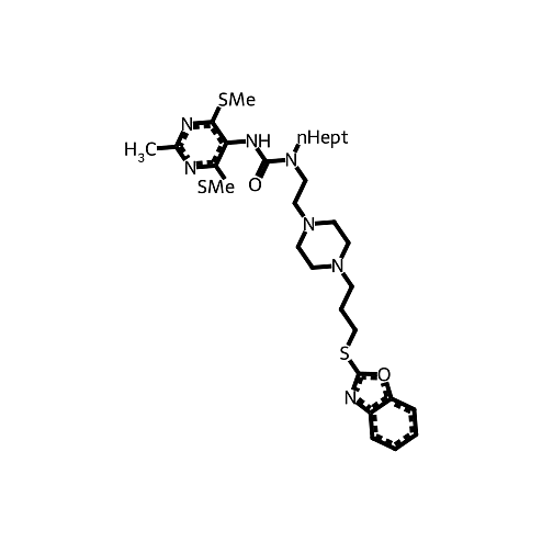 CCCCCCCN(CCN1CCN(CCCSc2nc3ccccc3o2)CC1)C(=O)Nc1c(SC)nc(C)nc1SC